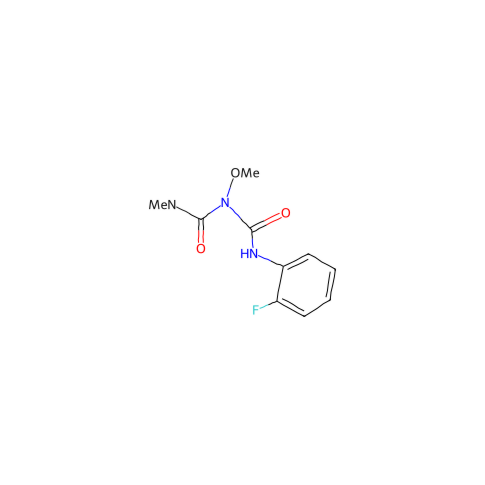 CNC(=O)N(OC)C(=O)Nc1ccccc1F